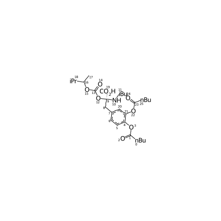 CCCCC(=O)Oc1ccc(C[C@](NC(C)CC)(OC(=O)OC(C)C(C)C)C(=O)O)cc1OC(=O)CCCC